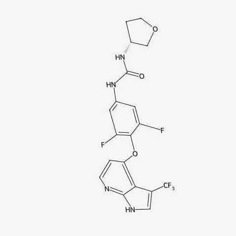 O=C(Nc1cc(F)c(Oc2ccnc3[nH]cc(C(F)(F)F)c23)c(F)c1)N[C@@H]1CCOC1